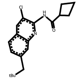 CC(C)(C)Cc1ccc2cc(Cl)c(NC(=O)C3CCC3)nc2c1